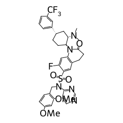 COc1ccc(CN(c2ccncn2)S(=O)(=O)c2cc3c(cc2F)N([C@H]2CC[C@H](c4cccc(C(F)(F)F)c4)C[C@@H]2N(C)C)C(=O)CC3)c(OC)c1